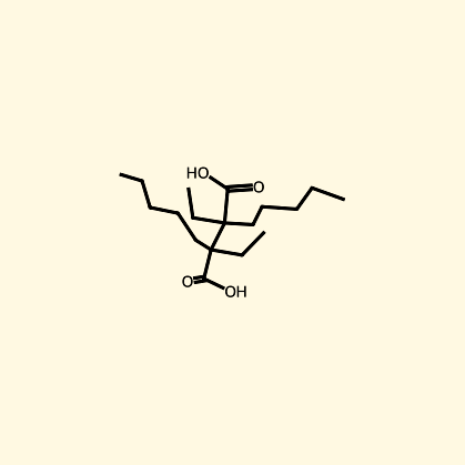 CCCCCC(CC)(C(=O)O)C(CC)(CCCCC)C(=O)O